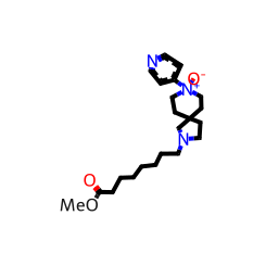 COC(=O)CCCCCCCN1CCC2(CC[N+]([O-])(c3ccncc3)CC2)C1